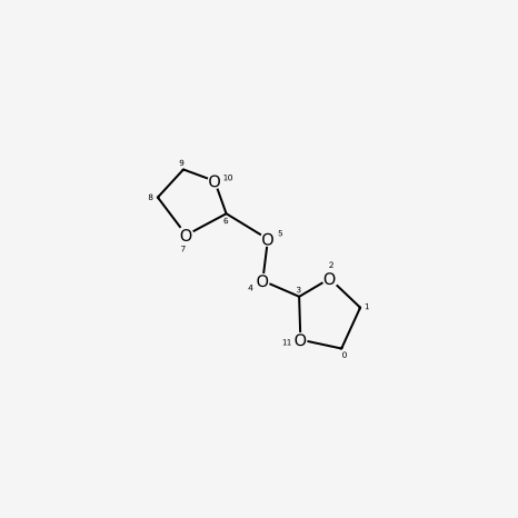 C1COC(OOC2OCCO2)O1